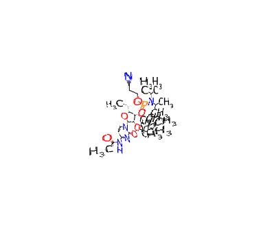 CC[C@H]1O[C@@H](n2ccc(NC(C)=O)nc2=O)C(O[Si](C)(C)C(C)(C)C)[C@H]1OP(OCCC#N)N(C(C)C)C(C)C